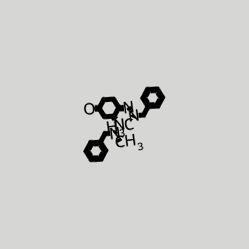 CN(Cc1ccccc1)/N=C1/CCC(=O)C/C1=N\N(C)Cc1ccccc1